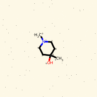 [CH2]N1CCC(C)(O)CC1